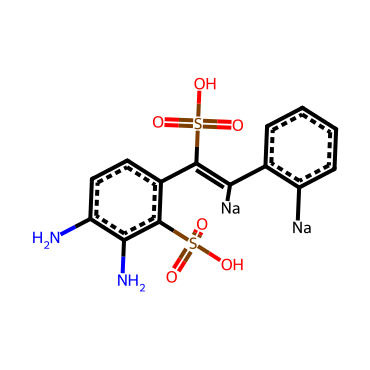 Nc1ccc(C(=[C]([Na])c2cccc[c]2[Na])S(=O)(=O)O)c(S(=O)(=O)O)c1N